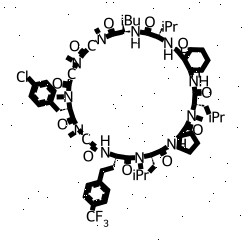 CC[C@H](C)[C@@H]1NC(=O)[C@H](C(C)C)NC(=O)[C@@H]2CCCC[C@H]2NC(=O)[C@H](CC(C)C)N(C)C(=O)C2(CCCC2)NC(=O)[C@H](CC(C)C)N(C)C(=O)[C@H](CCc2ccc(C(F)(F)F)cc2)NC(=O)CN(C)C(=O)[C@H](Cc2ccc(Cl)cc2)N(C)C(=O)CN(C)C(=O)CN(C)C1=O